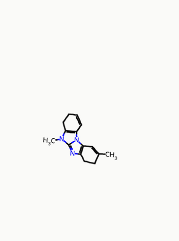 CC1=Cc2c(nc3n(C)c4c(n23)C=CCC4)CC1